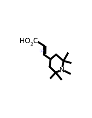 CN1C(C)(C)CC(/C=C/C(=O)O)CC1(C)C